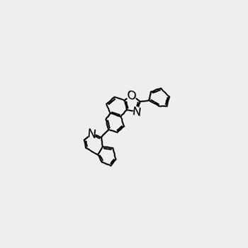 c1ccc(-c2nc3c(ccc4cc(-c5nccc6ccccc56)ccc43)o2)cc1